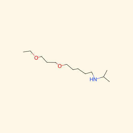 CCOCCCOCCCCCNC(C)C